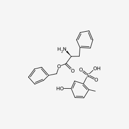 Cc1ccc(O)cc1S(=O)(=O)O.N[C@@H](Cc1ccccc1)C(=O)OCc1ccccc1